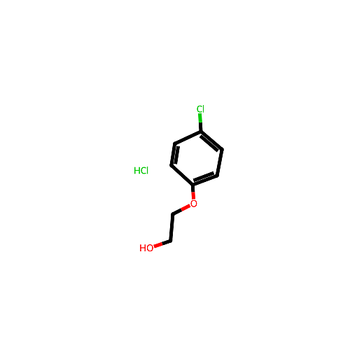 Cl.OCCOc1ccc(Cl)cc1